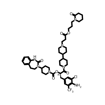 Nc1c(Cl)cc(C[C@@H](OC(=O)N2CCC(N3CCc4ccccc4NC3=O)CC2)C(=O)N2CCC(C3CCN(CCC(=O)OCCCN4CCCCC4=O)CC3)CC2)cc1C(F)(F)F